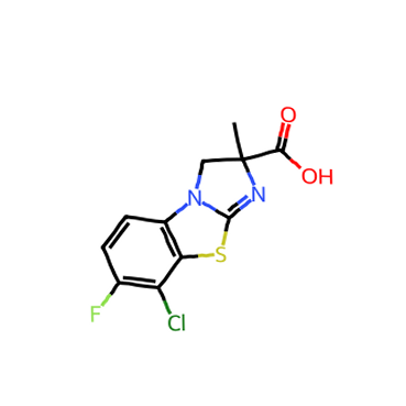 CC1(C(=O)O)CN2C(=N1)Sc1c2ccc(F)c1Cl